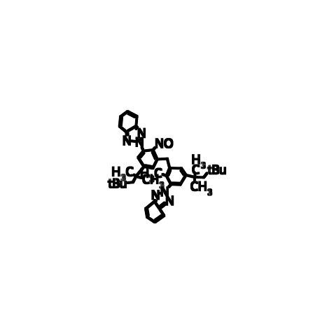 Cc1c(Cc2cc(C(C)(C)CC(C)(C)C)cc(-n3nc4ccccc4n3)c2N=O)cc(C(C)(C)CC(C)(C)C)cc1-n1nc2ccccc2n1